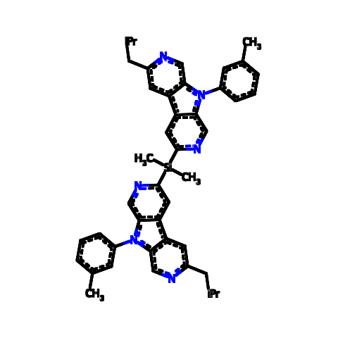 Cc1cccc(-n2c3cnc(CC(C)C)cc3c3cc([Si](C)(C)c4cc5c6cc(CC(C)C)ncc6n(-c6cccc(C)c6)c5cn4)ncc32)c1